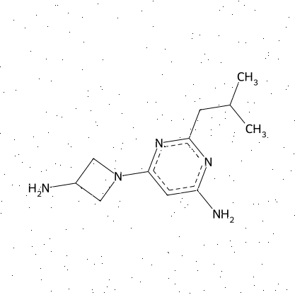 CC(C)Cc1nc(N)cc(N2CC(N)C2)n1